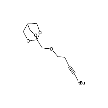 CC(C)(C)C#CCCOCC12OCC(CO1)CO2